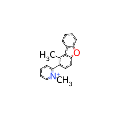 Cc1c(-c2cccc[n+]2C)ccc2oc3ccccc3c12